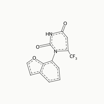 O=c1cc(C(F)(F)F)n(-c2cccc3ccoc23)c(=O)[nH]1